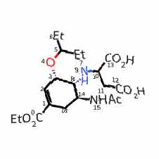 CCOC(=O)C1=C[C@H](OC(CC)CC)[C@H](NC(CC(=O)O)C(=O)O)[C@@H](NC(C)=O)C1